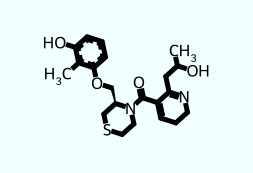 Cc1c(O)cccc1OC[C@@H]1CSCCN1C(=O)C1=CCCN=C1CC(C)O